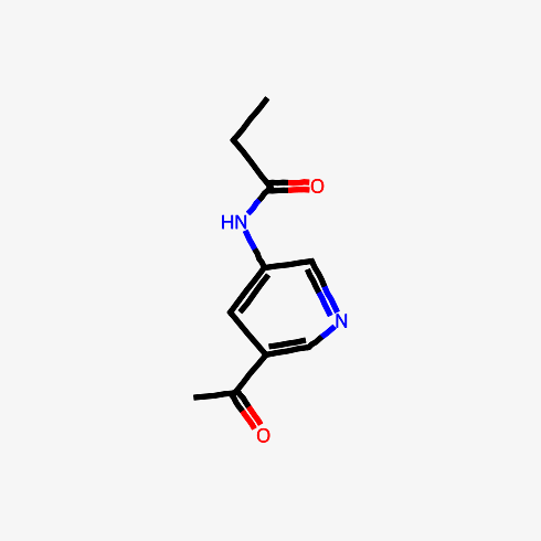 CCC(=O)Nc1cncc(C(C)=O)c1